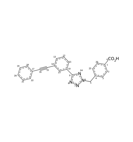 O=C(O)c1ccc(Cn2nnc(-c3cccc(C#Cc4ccccc4)c3)n2)cc1